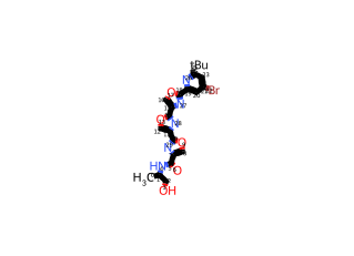 CC(CO)NC(=O)c1coc(-c2coc(-c3coc(-c4cc(Br)cc(C(C)(C)C)n4)n3)n2)n1